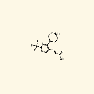 O=C(O)C=Cc1ccc(C(F)(F)F)nc1N1CCNCC1